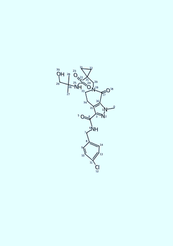 Cn1nc(C(=O)NCc2ccc(Cl)cc2)c2c1C(=O)N(CC1(S(=O)(=O)NC(C)(C)CO)CC1)CC2